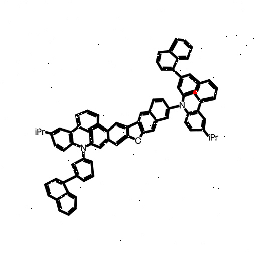 CC(C)c1ccc(N(c2cccc(-c3cccc4ccccc34)c2)c2ccc3cc4c(cc3c2)oc2cc3cc(N(c5cccc(-c6cccc7ccccc67)c5)c5ccc(C(C)C)cc5-c5ccccc5)ccc3cc24)c(-c2ccccc2)c1